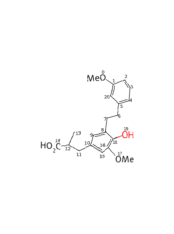 COc1cccc(CCc2cc(CC(C)C(=O)O)cc(OC)c2O)c1